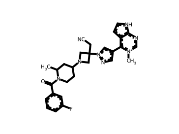 CC1CC(N2CC(CC#N)(n3cc(-c4c5cc[nH]c5nc[n+]4C)cn3)C2)CCN1C(=O)c1cccc(F)c1